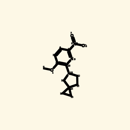 COc1ccc([N+](=O)[O-])nc1N1CCC2(CC2)C1